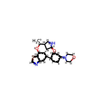 C[C@@H](Oc1cc(-c2ccc(N3CCOCC3)cc2)cc2ncsc12)C1CNC(=O)C1